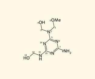 COCN(CO)c1nc(N)nc(NCO)n1